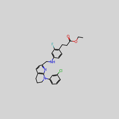 CCOC(=O)CCc1ccc(NCc2ccc3c(n2)N(c2cccc(Cl)c2)CCC3)cc1F